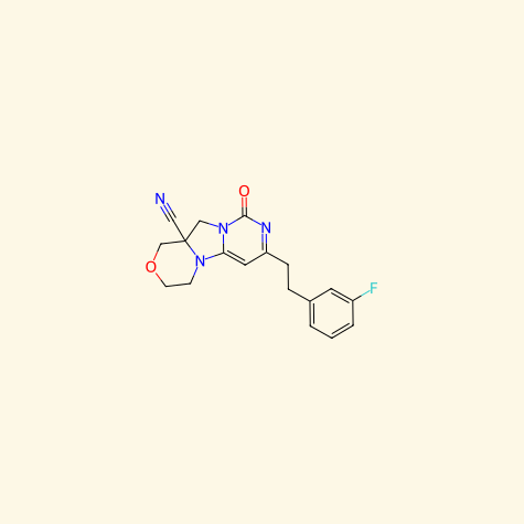 N#CC12COCCN1c1cc(CCc3cccc(F)c3)nc(=O)n1C2